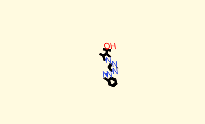 CC1CN(c2cc(-n3ncc4ccccc43)ncn2)CC1C(C)(C)O